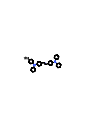 CC(C)(C)c1ccc(N(c2ccccc2)c2ccc(/C=C/c3ccc(N(c4ccccc4)c4ccccc4)cc3)cc2)cc1